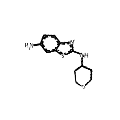 Nc1ccc2nc(NC3CCOCC3)sc2c1